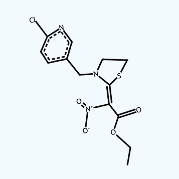 CCOC(=O)/C(=C1\SCCN1Cc1ccc(Cl)nc1)[N+](=O)[O-]